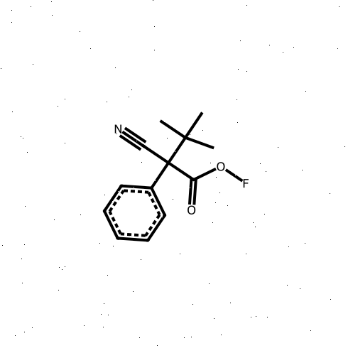 CC(C)(C)C(C#N)(C(=O)OF)c1ccccc1